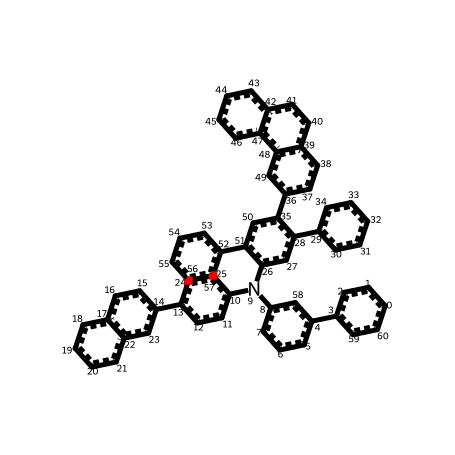 c1ccc(-c2cccc(N(c3ccc(-c4ccc5ccccc5c4)cc3)c3cc(-c4ccccc4)c(-c4ccc5ccc6ccccc6c5c4)cc3-c3ccccc3)c2)cc1